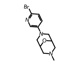 CN1CC2CN(c3ccc(Br)nc3)CC(C1)O2